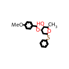 COc1ccc(CO[C@H]2C[C@H](Sc3ccccc3)O[C@@H](C)[C@H]2O)cc1